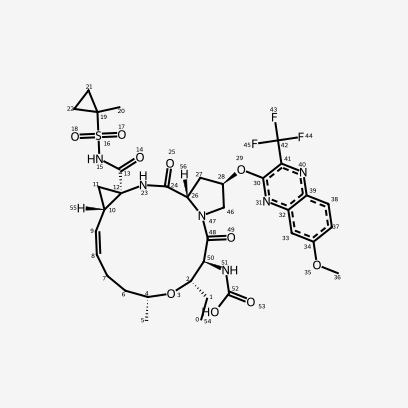 CC[C@@H]1O[C@H](C)CCC=C[C@@H]2C[C@@]2(C(=O)NS(=O)(=O)C2(C)CC2)NC(=O)[C@@H]2C[C@@H](Oc3nc4cc(OC)ccc4nc3C(F)(F)F)CN2C(=O)[C@H]1NC(=O)O